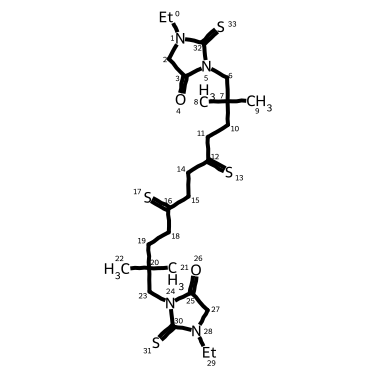 CCN1CC(=O)N(CC(C)(C)CCC(=S)CCC(=S)CCC(C)(C)CN2C(=O)CN(CC)C2=S)C1=S